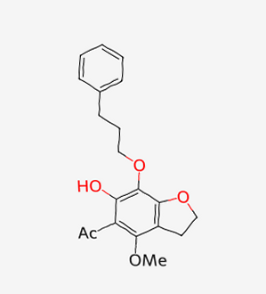 COc1c2c(c(OCCCc3ccccc3)c(O)c1C(C)=O)OCC2